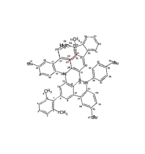 Cc1cccc(C)c1-c1cc2c3c(c1)N(c1ccc(C(C)(C)C)cc1-c1ccccc1)c1cc4c(cc1B3N(c1ccc(C(C)(C)C)cc1)c1ccc(C(C)(C)C)cc1-2)-c1ccccc1C4(C)C